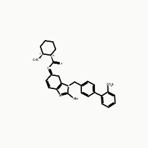 CCCCc1nc2c(n1Cc1ccc(-c3ccccc3C(=O)O)cc1)CC(=NC(=O)[C@@H]1CCCC[C@@H]1C=O)C=C2